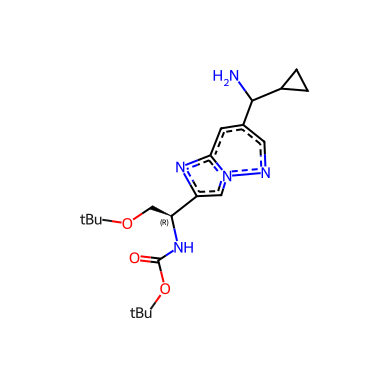 CC(C)(C)OC[C@H](NC(=O)OC(C)(C)C)c1cn2ncc(C(N)C3CC3)cc2n1